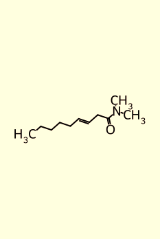 CCCCCC=CCC(=O)N(C)C